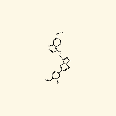 COc1ccc2c(OCc3nnc4ccc(-c5ccc(C=O)c(F)c5)cn34)ccnc2c1